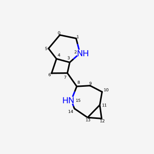 C1CNC2C(C1)CC2C1CCC2CC2CN1